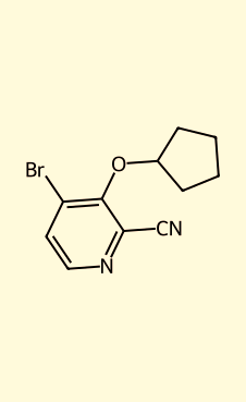 N#Cc1nccc(Br)c1OC1CCCC1